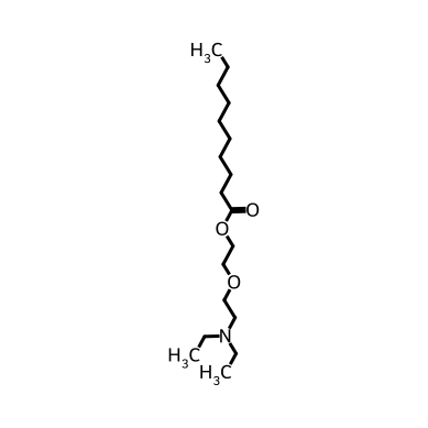 CCCCCCCCCC(=O)OCCOCCN(CC)CC